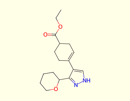 CCOC(=O)C1CC=C(c2c[nH]nc2C2CCCCO2)CC1